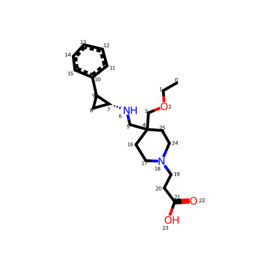 CCOCC1(CN[C@@H]2CC2c2ccccc2)CCN(CCC(=O)O)CC1